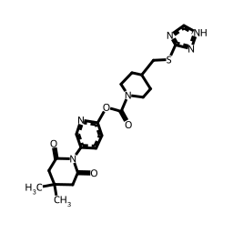 CC1(C)CC(=O)N(c2ccc(OC(=O)N3CCC(CSc4nc[nH]n4)CC3)nc2)C(=O)C1